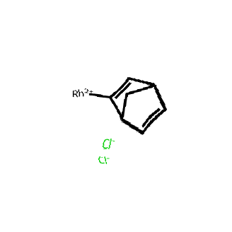 [Cl-].[Cl-].[Rh+2][C]1=CC2C=CC1C2